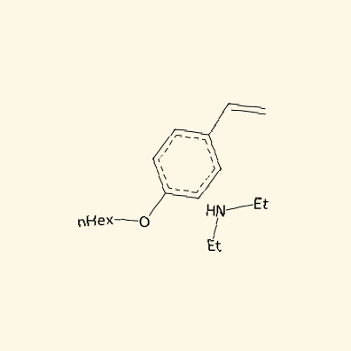 C=Cc1ccc(OCCCCCC)cc1.CCNCC